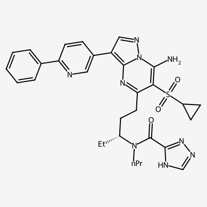 CCCN(C(=O)c1nnc[nH]1)[C@H](CC)CCc1nc2c(-c3ccc(-c4ccccc4)nc3)cnn2c(N)c1S(=O)(=O)C1CC1